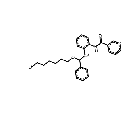 O=C(Nc1ccccc1NC(OCCCCCCCl)c1ccccc1)c1cccnc1